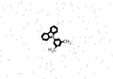 Cc1cc(C)cc(N2c3ccccc3C3C=CC=CC32)c1